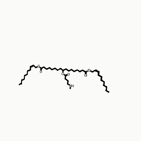 CCCCCCCC/C=C\COC(=O)CCCCCCCC(CCCCCCCC(=O)OC/C=C\CCCCCCCC)OC(=O)CCCNC